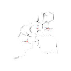 C#CCCCCC1(Oc2ccccc2)NCCNCCCN(S(=O)(=O)c2ccccc2[N+](=O)[O-])C1(S(=O)(=O)c1ccccc1[N+](=O)[O-])S(=O)(=O)c1ccccc1[N+](=O)[O-]